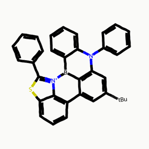 CC(C)(C)c1cc2c3c(c1)N(c1ccccc1)c1ccccc1B3[n+]1c(-c3ccccc3)sc3cccc-2c31